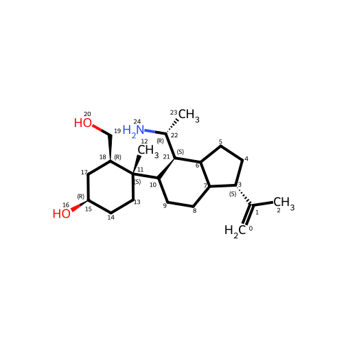 C=C(C)[C@H]1CCC2C1CCC([C@]1(C)CC[C@@H](O)C[C@H]1CO)[C@H]2[C@@H](C)N